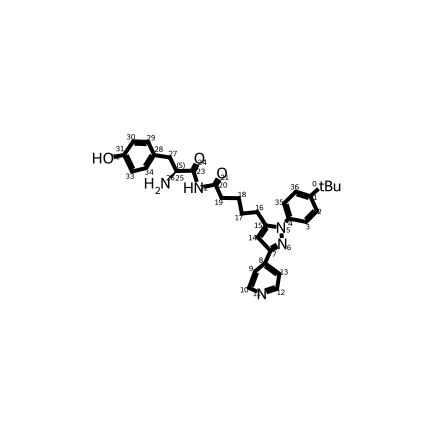 CC(C)(C)c1ccc(-n2nc(-c3ccncc3)cc2CCCCC(=O)NC(=O)[C@@H](N)Cc2ccc(O)cc2)cc1